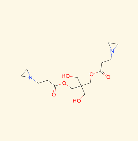 O=C(CCN1CC1)OCC(CO)(CO)COC(=O)CCN1CC1